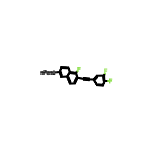 CCCCCc1ccc2c(F)c(C#Cc3ccc(F)c(F)c3)ccc2c1